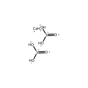 O=S(O)O.O=S(O)O.[CaH2]